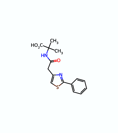 CC(C)(NC(=O)Cc1csc(-c2ccccc2)n1)C(=O)O